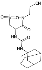 CS(=O)(=O)CC(NC(=O)NC12CC3CC(CC(C3)C1)C2)C(=O)NCCC#N